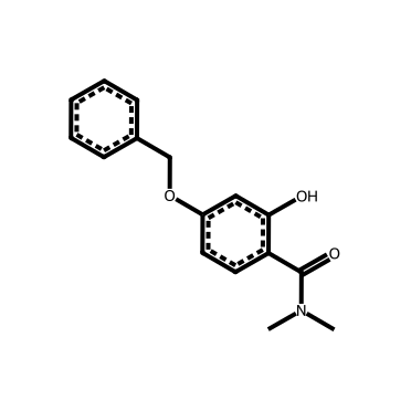 CN(C)C(=O)c1ccc(OCc2ccccc2)cc1O